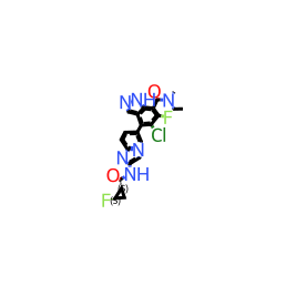 CCN(C)C(=O)c1c(F)c(Cl)c(-c2ccc3nc(NC(=O)[C@@H]4C[C@@H]4F)cn3c2)c2cn[nH]c12